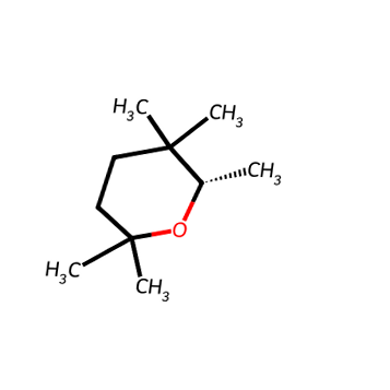 C[C@@H]1OC(C)(C)CCC1(C)C